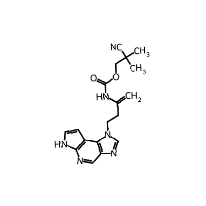 C=C(CCn1cnc2cnc3[nH]ccc3c21)NC(=O)OCC(C)(C)C#N